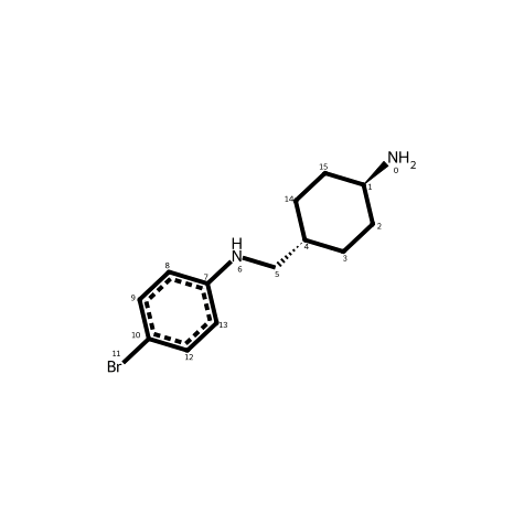 N[C@H]1CC[C@H](CNc2ccc(Br)cc2)CC1